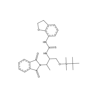 CC(C(CO[Si](C)(C)C(C)(C)C)NC(=S)Nc1cccc2c1OCC2)N1C(=O)c2ccccc2C1=O